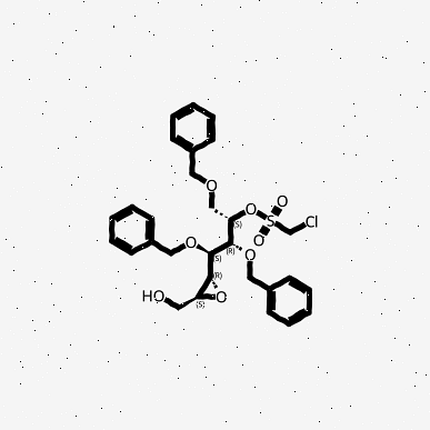 O=S(=O)(CCl)O[C@@H](COCc1ccccc1)[C@H](OCc1ccccc1)[C@H](OCc1ccccc1)[C@@H]1O[C@H]1CO